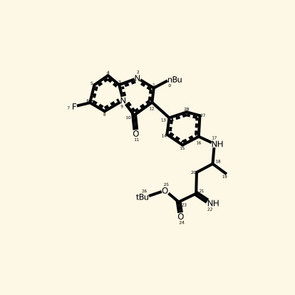 CCCCc1nc2ccc(F)cn2c(=O)c1-c1ccc(NC(C)CC(=N)C(=O)OC(C)(C)C)cc1